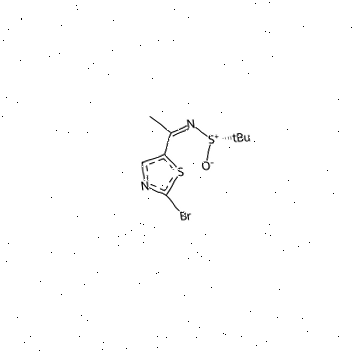 C/C(=N/[S@@+]([O-])C(C)(C)C)c1cnc(Br)s1